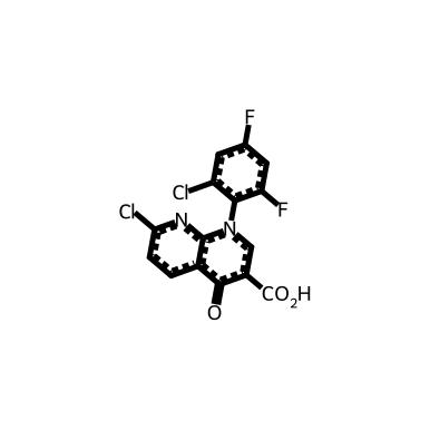 O=C(O)c1cn(-c2c(F)cc(F)cc2Cl)c2nc(Cl)ccc2c1=O